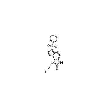 CCCCn1c(=O)[nH]c2cnc3c(ccn3S(=O)(=O)c3ccccc3)c21